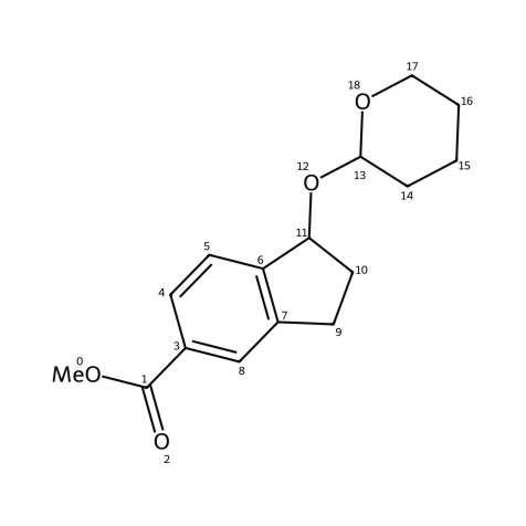 COC(=O)c1ccc2c(c1)CCC2OC1CCCCO1